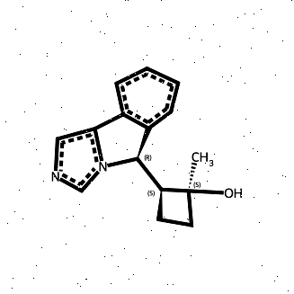 C[C@]1(O)CC[C@H]1[C@@H]1c2ccccc2-c2cncn21